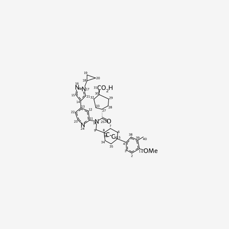 COc1ccc(C23CCC(CN(c4cc(-c5cnn(C6CC6)c5)ccn4)C(=O)[C@H]4CC[C@H](C(=O)O)CC4)(CC2)CC3)cc1C